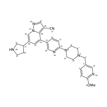 COc1ccc(CN2CCN(c3ccc(-c4cc(C5CCNC5)cn5ncc(C#N)c45)cn3)CC2)cn1